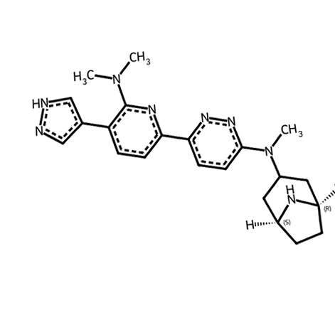 CN(C)c1nc(-c2ccc(N(C)C3C[C@H]4CC[C@@H](C3)N4)nn2)ccc1-c1cn[nH]c1